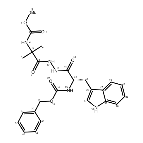 CC(C)(C)OC(=O)NC(C)(C)C(=O)NNC(=O)[C@H](Cc1c[nH]c2ccccc12)NC(=O)OCc1ccccc1